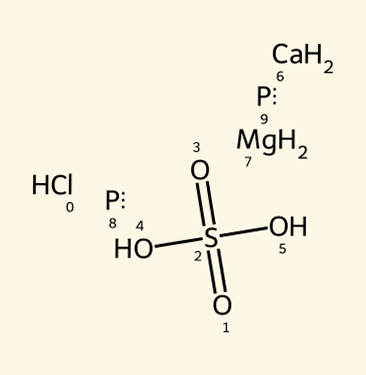 Cl.O=S(=O)(O)O.[CaH2].[MgH2].[P].[P]